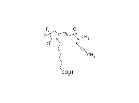 CC#CC[C@@H](C)[C@@H](O)/C=C/C1CC(F)(F)C(=O)N1CCCCCCC(=O)O